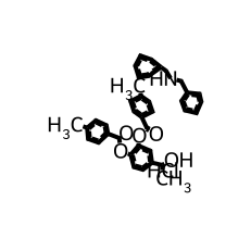 Cc1ccc(C(=O)Oc2ccc(C(C)O)cc2OC(=O)c2ccc(C)cc2)cc1.Cl.c1ccc(CNCc2ccccc2)cc1